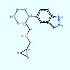 c1cc2[nH]ncc2cc1N1CCNCC1COCC1CC1